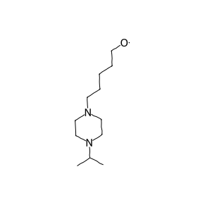 CC(C)N1CCN(CCCCC[O])CC1